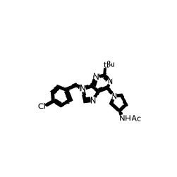 CC(=O)NC1CCN(c2nc(C(C)(C)C)nc3c2ncn3Cc2ccc(Cl)cc2)C1